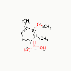 COc1c(C)cccc1C.OBO